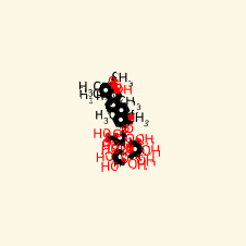 COC(=O)[C@]12CCC(C)(C)CC1C1=CCC3C4(C)CC[C@H](O[C@@H]5OC(C(=O)O)[C@@H](O)[C@H](O[C@@H]6OC[C@@H](O)[C@H](O)C6O)C5O[C@@H]5OC(CO)[C@H](O)[C@H](O)C5O)[C@](C)(C=O)[C@@H]4CC[C@]3(C)[C@]1(C)CC2O